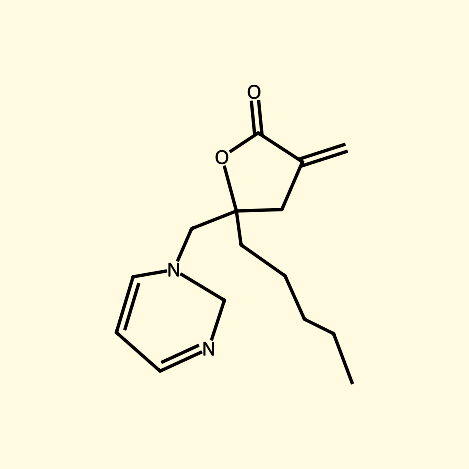 C=C1CC(CCCCC)(CN2C=CC=NC2)OC1=O